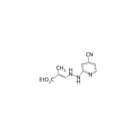 CCOC(=O)/C(C)=C/NNc1cc(C#N)ccn1